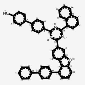 N#Cc1ccc(-c2ccc(-c3nc(-c4ccc5c(c4)oc4cccc(-c6ccc(-c7ccccc7)cc6)c45)nc(-c4cccc5ccccc45)n3)cc2)cc1